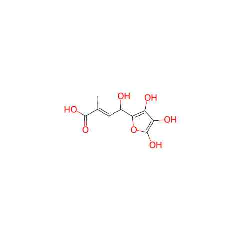 C/C(=C\C(O)c1oc(O)c(O)c1O)C(=O)O